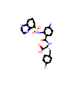 O=C(N[C@H](Cc1ccc(Cl)cc1)C(=O)O)c1ccc(I)cc1NS(=O)(=O)c1cccc2nccnc12